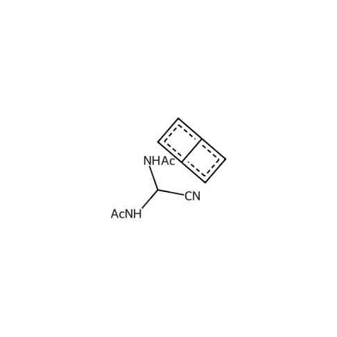 CC(=O)NC(C#N)NC(C)=O.c1cc2ccc1-2